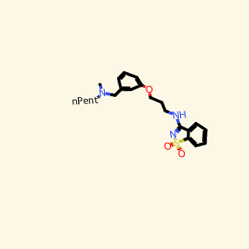 CCCCCN(C)Cc1cccc(OCCCNC2=NS(=O)(=O)c3ccccc32)c1